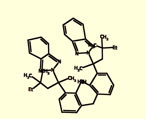 CCC(C)(C)CC(C)(c1cccc(Cc2cccc(C(C)(CC(C)(C)CC)n3nc4ccccc4n3)c2O)c1O)n1nc2ccccc2n1